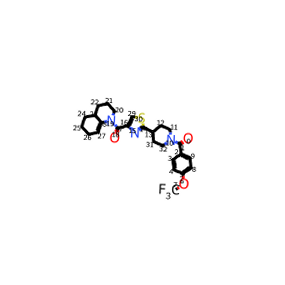 O=C(c1ccc(OC(F)(F)F)cc1)N1CCC(c2nc(C(=O)N3CCCC4CCCC=C43)cs2)CC1